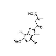 COc1cc(Br)c2c(c1Cl)CN(C(=O)C[C@H](C)C(=O)O)C2C